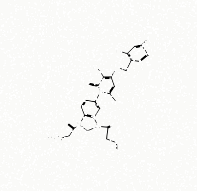 CNCC(=O)N1CN(C(=O)CCO)c2cc(-n3c(C)cc(OCc4ccc(F)cc4F)c(Cl)c3=O)ccc21